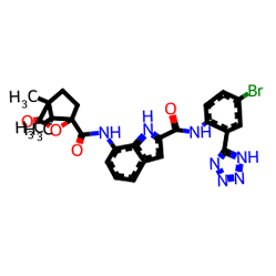 CC12CCC(C(=O)Nc3cccc4cc(C(=O)Nc5ccc(Br)cc5-c5nnn[nH]5)[nH]c34)(OC1=O)C2(C)C